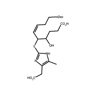 CCCCCCCCCCCC/C=C\C(Sc1nc(CC(=O)O)c(C)[nH]1)C(O)CCC(=O)O